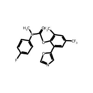 CN(C(=O)Oc1c(-c2cnco2)cc(C(F)(F)F)cc1C(F)(F)F)c1ccc(F)cc1